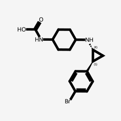 O=C(O)NC1CCC(N[C@@H]2C[C@H]2c2ccc(Br)cc2)CC1